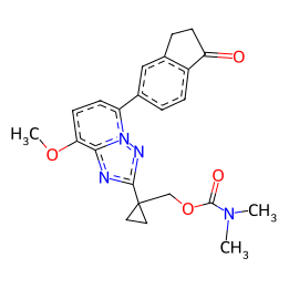 COc1ccc(-c2ccc3c(c2)CCC3=O)n2nc(C3(COC(=O)N(C)C)CC3)nc12